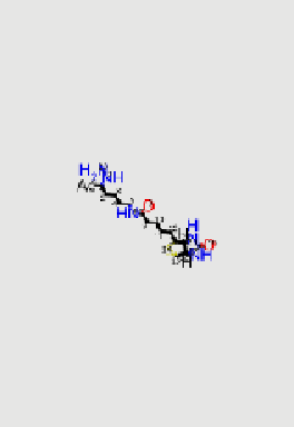 CC(=O)[C@H](CCCCNC(=O)CCCCC1SC[C@H]2NC(=O)N[C@@H]12)NN